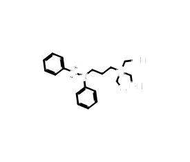 O=S(=O)(c1ccccc1)N(CCC[Si](CO)(CO)CO)c1ccccc1